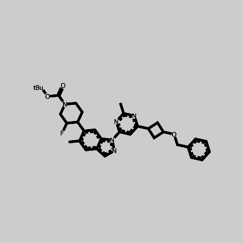 Cc1nc(C2CC(OCc3ccccc3)C2)cc(-n2ncc3cc(C)c(C4CCN(C(=O)OC(C)(C)C)CC4F)cc32)n1